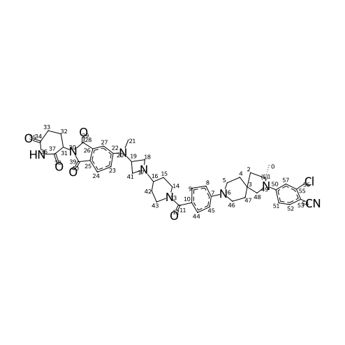 C[C@H]1CC2(CCN(c3ccc(C(=O)N4CCC(N5CC(N(C)c6ccc7c(c6)C(=O)N(C6CCC(=O)NC6=O)C7=O)C5)CC4)cc3)CC2)CN1c1ccc(C#N)c(Cl)c1